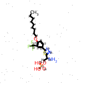 CCCCCCCCCOc1ccc(-c2nnc([C@@H](N)COP(=O)(O)O)s2)cc1C(F)(F)F